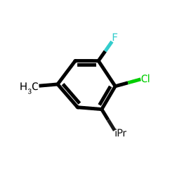 Cc1cc(F)c(Cl)c(C(C)C)c1